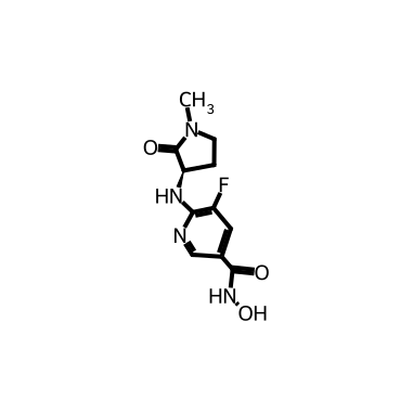 CN1CC[C@@H](Nc2ncc(C(=O)NO)cc2F)C1=O